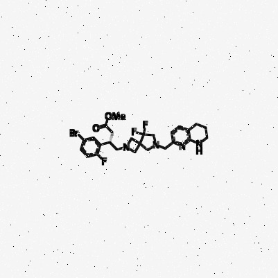 COC(=O)C[C@H](CN1CC2(CN(Cc3ccc4c(n3)NCCC4)CC2(F)F)C1)c1cc(Br)ccc1F